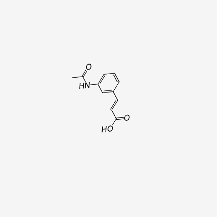 CC(=O)Nc1cccc(C=CC(=O)O)c1